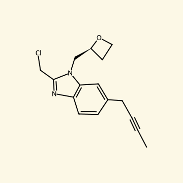 CC#CCc1ccc2nc(CCl)n(C[C@@H]3CCO3)c2c1